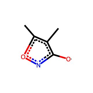 Cc1onc([O])c1C